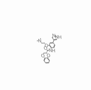 CN(C)CCOc1cc(-c2cn[nH]c2)ccc1NC(=O)[C@@H]1COc2ccccc2O1